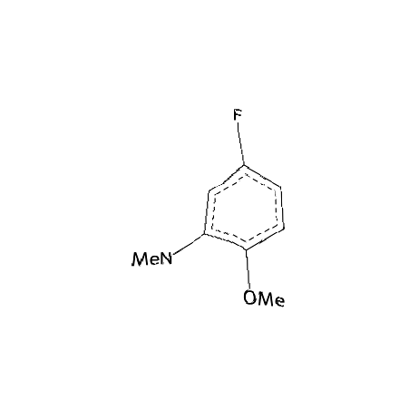 CNc1cc(F)ccc1OC